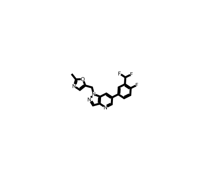 Cc1ncc(Cn2ncc3ncc(-c4ccc(F)c(C(F)F)c4)cc32)o1